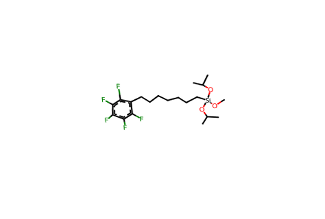 CO[Si](CCCCCCCc1c(F)c(F)c(F)c(F)c1F)(OC(C)C)OC(C)C